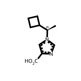 C[C@H](C1CCC1)n1cnc(C(=O)O)c1